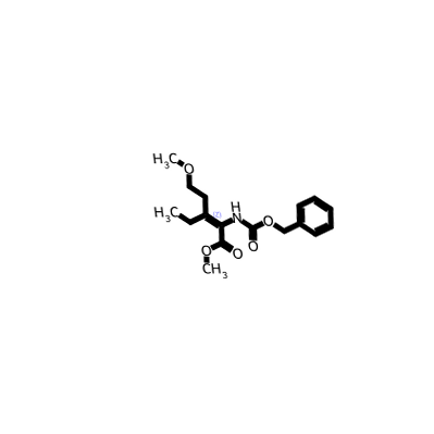 CC/C(CCOC)=C(/NC(=O)OCc1ccccc1)C(=O)OC